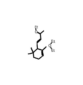 CCOC(C)C=CC1C(C)=CCCC1(C)C.CCOCC